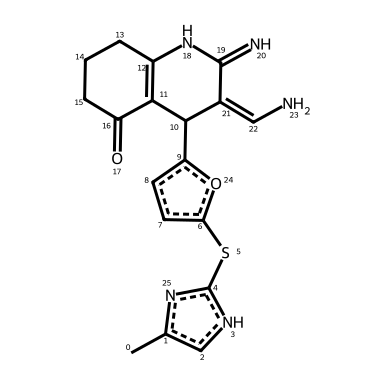 Cc1c[nH]c(Sc2ccc(C3C4=C(CCCC4=O)NC(=N)/C3=C\N)o2)n1